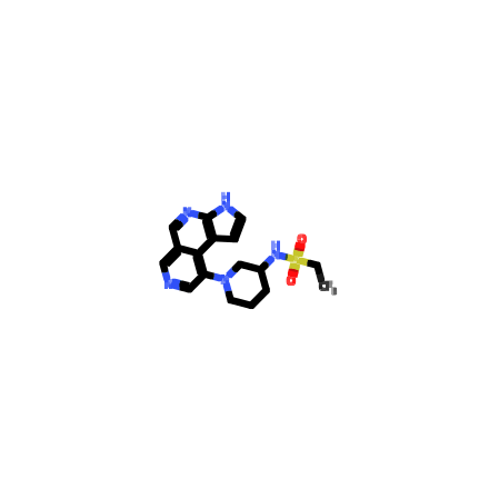 O=S(=O)(CC(F)(F)F)NC1CCCN(c2cncc3cnc4[nH]ccc4c23)C1